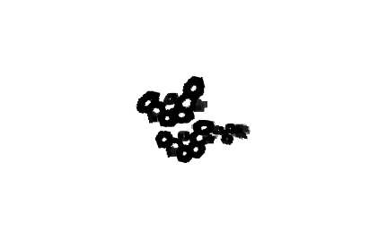 Brc1ccccc1C(OC(c1ccccc1)c1ccccc1Br)c1ccccc1.Brc1ccccc1C(OC(c1ccccc1)c1ccccc1Br)c1ccccc1.O=C([O-])[O-].[K+].[K+]